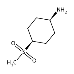 CS(=O)(=O)[C@H]1CC[C@@H](N)CC1